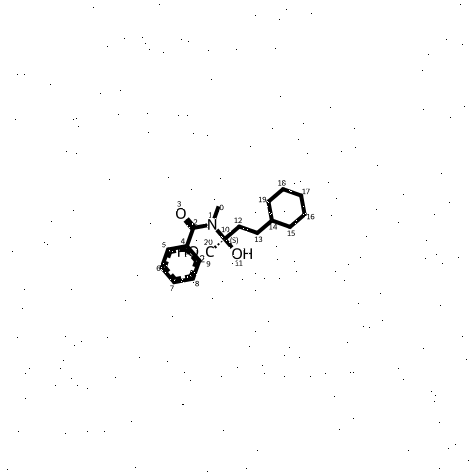 CN(C(=O)c1ccccc1)[C@](O)(CCC1CCCCC1)C(=O)O